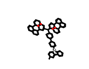 Cc1ccc2c(c1)c1ccccc1n2-c1ccc(-c2ccc(C(c3ccc(-c4cccc5cccc(-c6ccccc6)c45)cc3)c3cccc(-c4cccc5cccc(-c6ccccc6)c45)c3)cc2)cc1